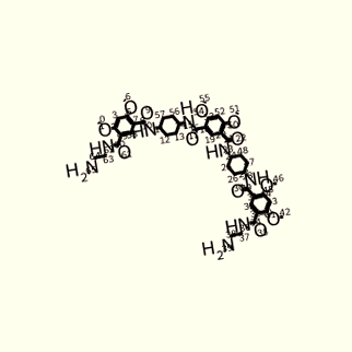 COc1cc(OC)c(C(=O)NC2CCC(NC(=O)c3cc(C(=O)NC4CCC(NC(=O)c5cc(C(=O)NCCN)c(OC)cc5OC)CC4)c(OC)cc3OC)CC2)cc1C(=O)NCCN